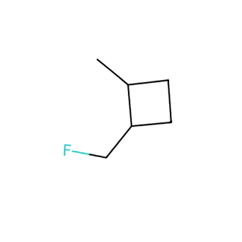 CC1CCC1CF